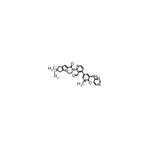 Cn1cc(-c2ccnc(N3CCn4c(cc5c4CC(C)(C)C5)C3=O)c2C=O)cc(Nc2ccncn2)c1=O